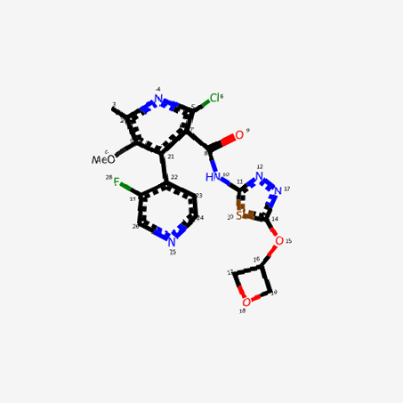 COc1c(C)nc(Cl)c(C(=O)Nc2nnc(OC3COC3)s2)c1-c1ccncc1F